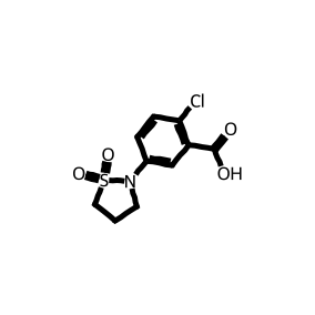 O=C(O)c1cc(N2CCCS2(=O)=O)ccc1Cl